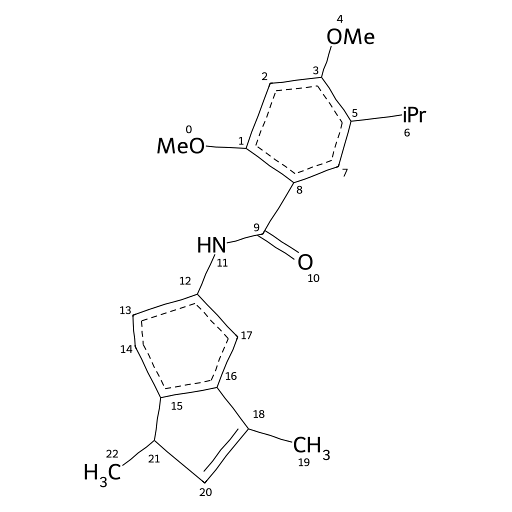 COc1cc(OC)c(C(C)C)cc1C(=O)Nc1ccc2c(c1)C(C)=CC2C